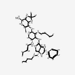 CCCCOC[C@]12CO[C@@H](OC3C(OCCCC)[C@H](O[C@@H]4C5OC(C)(C)OC5[C@H](O)O[C@@H]4C)OC[C@H]3OCCCC)C1O[C@H](c1ccccc1)O2